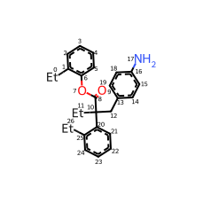 CCc1ccccc1OC(=O)C(CC)(Cc1ccc(N)cc1)c1ccccc1CC